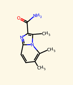 Cc1ccc2nc(C(N)=O)c(C)n2c1C